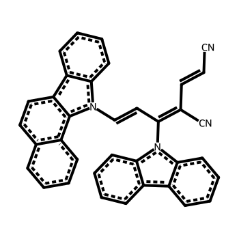 N#C/C=C/C(C#N)=C(\C=C\n1c2ccccc2c2ccc3ccccc3c21)n1c2ccccc2c2ccccc21